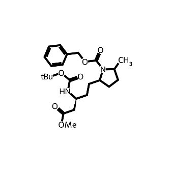 COC(=O)C[C@H](CCC1CCC(C)N1C(=O)OCc1ccccc1)NC(=O)OC(C)(C)C